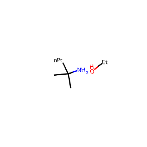 CCCC(C)(C)N.CCO